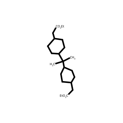 CCOC(=O)CC1CCC(C(C)(C)C2CCC(CC(=O)OCC)CC2)CC1